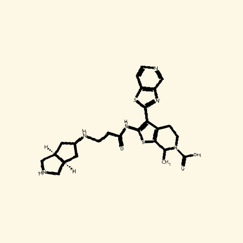 CC1c2sc(NC(=O)CCNC3C[C@H]4CNC[C@H]4C3)c(-c3nc4cnccc4s3)c2CCN1C(=O)O